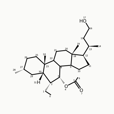 CC[C@H]1[C@@H](OC(C)=O)C2C3CC[C@H]([C@H](C)CCO)[C@@]3(C)CCC2[C@@]2(C)CC[C@@H](C)C[C@@H]12